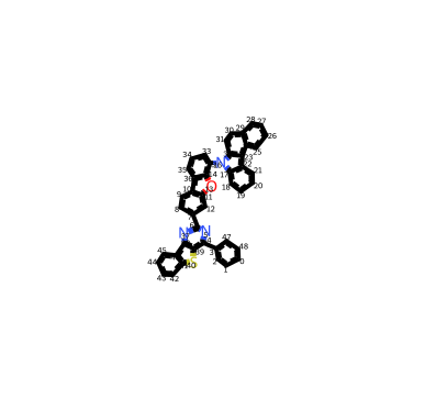 c1ccc(-c2nc(-c3ccc4c(c3)oc3c(-n5c6ccccc6c6c7ccccc7ccc65)cccc34)nc3c2sc2ccccc23)cc1